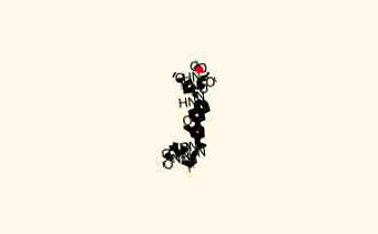 COC[C@H]1C[C@@H](c2nc3ccc4cc5c(cc4c3[nH]2)OCc2cc(-c3cnc(C4C[C@H](C)CN4C(=O)[C@@H](NC(=O)OC)C(C)C)[nH]3)ccc2-5)N(C(=O)C(NC(=O)OC)[C@@H](C)OC)C1